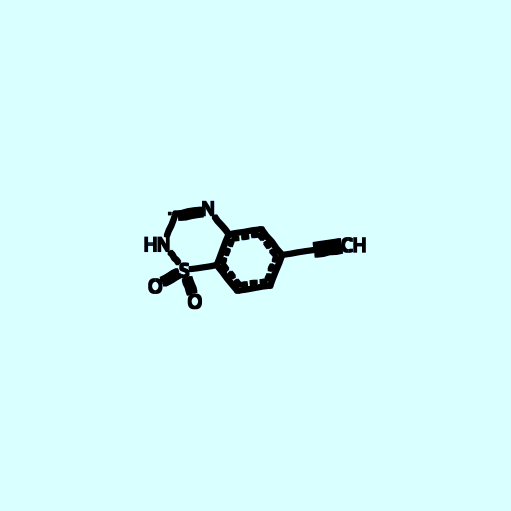 C#Cc1ccc2c(c1)N=[C]NS2(=O)=O